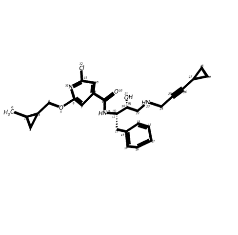 CC1CC1COc1cc(C(=O)N[C@@H](Cc2ccccc2)[C@H](O)CNCC#CC2CC2)cc(Cl)n1